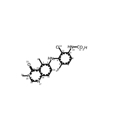 Cc1c(Nc2c(F)ccc(NC(=O)O)c2Cl)ccc2ncn(C)c(=O)c12